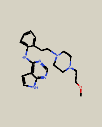 COCCN1CCN(CCc2ccccc2Nc2ncnc3[nH]c[c]c23)CC1